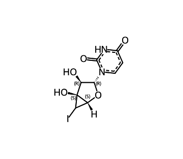 O=c1ccn([C@@H]2O[C@@H]3C(I)[C@]3(O)[C@H]2O)c(=O)[nH]1